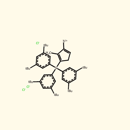 CC1=C([Si](c2cc(C(C)(C)C)cc(C(C)(C)C)c2)(c2cc(C(C)(C)C)cc(C(C)(C)C)c2)c2cc(C(C)(C)C)cc(C(C)(C)C)c2)CC=[C]1[Ti+3].[Cl-].[Cl-].[Cl-]